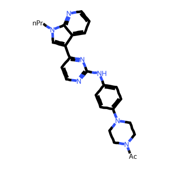 CCCn1cc(-c2ccnc(Nc3ccc(N4CCN(C(C)=O)CC4)cc3)n2)c2cccnc21